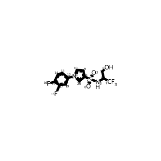 O=S(=O)(NC(CO)C(F)(F)F)c1ccn(-c2ccc(F)c(F)c2)c1